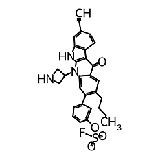 C#Cc1ccc2c(c1)[nH]c1c2c(=O)c2cc(CCCC)c(-c3cccc(OS(=O)(=O)F)c3)cc2n1C1CNC1